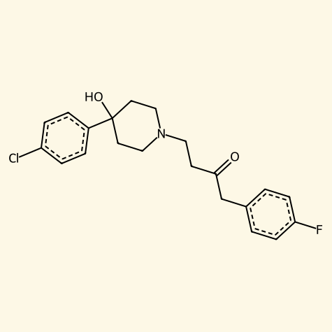 O=C(CCN1CCC(O)(c2ccc(Cl)cc2)CC1)Cc1ccc(F)cc1